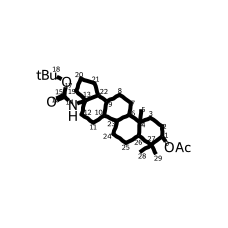 CC(=O)OC1CCC2(C)C3CCC4C(CCC5(NC(=O)OC(C)(C)C)CCCC45)C3CCC2C1(C)C